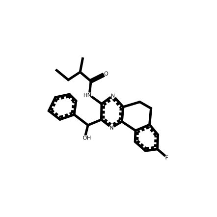 CCC(C)C(=O)Nc1nc2c(nc1C(O)c1ccccc1)-c1ccc(F)cc1CC2